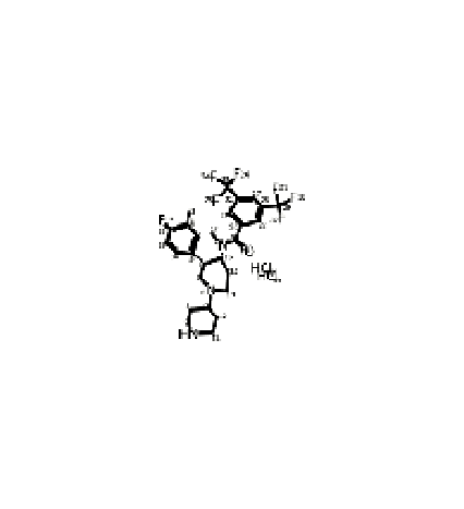 Cc1cc([C@@H]2CN(C3CCNCC3)CC[C@H]2N(C)C(=O)c2cc(C(F)(F)F)cc(C(F)(F)F)c2)ccc1F.Cl.Cl